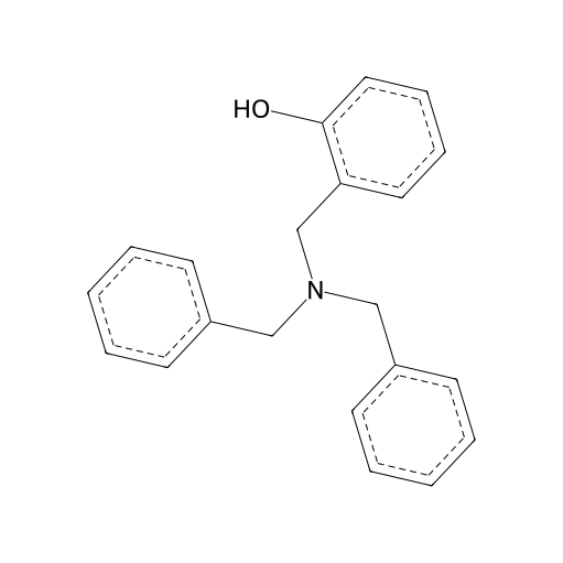 Oc1ccccc1CN(Cc1ccccc1)Cc1ccccc1